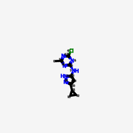 Cc1nc(Cl)nc(Nc2cc(C3CC3)n[nH]2)n1